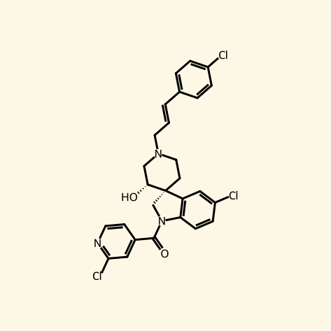 O=C(c1ccnc(Cl)c1)N1C[C@]2(CCN(C/C=C/c3ccc(Cl)cc3)C[C@H]2O)c2cc(Cl)ccc21